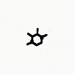 CC1[C@@H](C)N(C)CCN1C